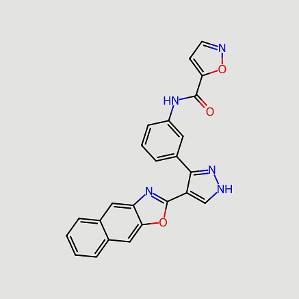 O=C(Nc1cccc(-c2n[nH]cc2-c2nc3cc4ccccc4cc3o2)c1)c1ccno1